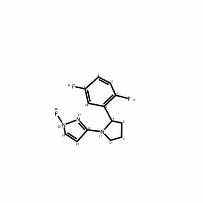 Fc1ccc(F)c(C2CCCN2c2ccn(F)n2)c1